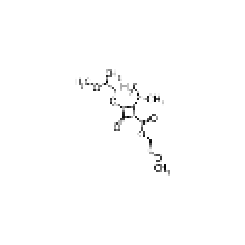 COCCOC(=O)N1C(=O)C(OCC(C)OC)C1C(C)C